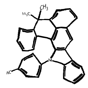 CC1(C)c2ccccc2-c2c3c1cccc3cc1c3ccccc3n(-c3ccc(C#N)cc3)c21